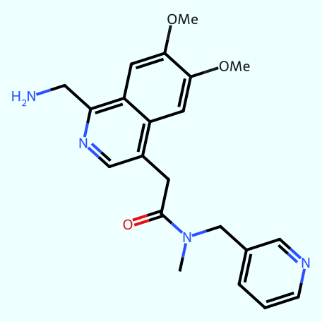 COc1cc2c(CC(=O)N(C)Cc3cccnc3)cnc(CN)c2cc1OC